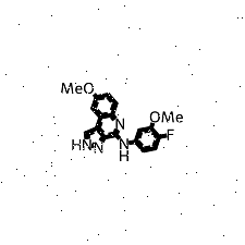 COc1ccc2nc(Nc3ccc(F)c(OC)c3)c3n[nH]cc3c2c1